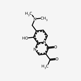 CC(=O)c1cnc2c(O)c(CN(C)C)ccn2c1=O